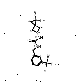 O=C(NCc1cccc(C(F)(F)F)c1)N[C@H]1C[C@]2(CC2(F)F)C1